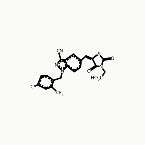 N#Cc1nn(Cc2ccc(Cl)cc2C(F)(F)F)c2ccc(C=C3SC(=O)N(CC(=O)O)C3=O)cc12